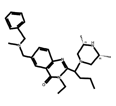 CCCC(c1nc2ccc(CN(C)Cc3ccccc3)cc2c(=O)n1CC)N1C[C@@H](C)N[C@@H](C)C1